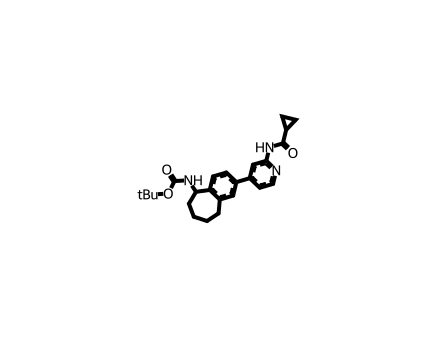 CC(C)(C)OC(=O)NC1CCCCc2cc(-c3ccnc(NC(=O)C4CC4)c3)ccc21